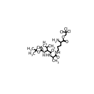 CC(NC(=O)C(NC(=O)OC(C)(C)C)C(C)C)C(=O)NCCCC(N)C(=O)OCC(Cl)(Cl)Cl